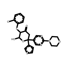 O=C1CC(c2cnc(N3CCOCC3)nc2)(c2ccsc2)OC(O)C1Sc1ccccc1Cl